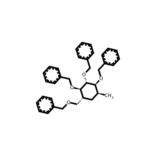 C[C@H]1C[C@H](COCc2ccccc2)[C@@H](OCc2ccccc2)[C@H](OCc2ccccc2)[C@H]1OCc1ccccc1